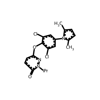 Cc1ccc(C)n1-c1cc(Cl)c(Oc2ccc(=O)n(C(C)C)n2)c(Cl)c1